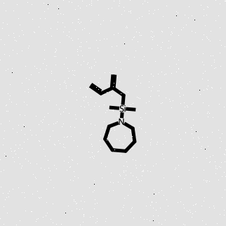 C=CC(=C)C[Si](C)(C)N1CCCCCC1